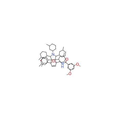 COc1cc(OC)cc(C(=O)NCC23C=CC(C4CCCC(C)C4)(O2)C2(C4CCCC(C)C4)C(C4CCCC(C)C4)N(C4CCCC(C)C4)C(C4CCCC(C)C4)C32C2CCCC(C)C2)c1